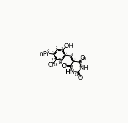 CCCc1cc(O)c(C=C2C(=O)NC(=O)NC2=O)cc1Cl